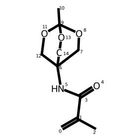 C=C(C)C(=O)NC12COC(C)(OC1)OC2